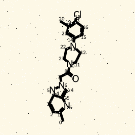 Cc1ccc2nn(CC(=O)N3CCN(c4ccc(Cl)c(C)c4)CC3)cc2n1